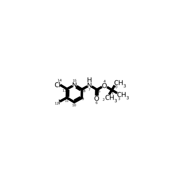 CC(C)(C)OC(=O)Nc1ccc(I)c(Cl)n1